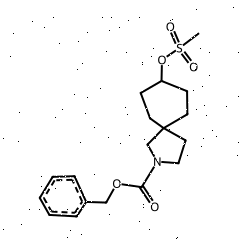 CS(=O)(=O)OC1CCC2(CC1)CCN(C(=O)OCc1ccccc1)C2